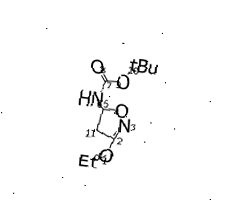 CCOC1=NOC(NC(=O)OC(C)(C)C)C1